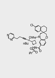 CCCC[C@](C#CCCc1ccncn1)(OC)[C@@H]1CC[C@H]1CN1C[C@@]2(CCCc3cc(Cl)ccc32)COc2ccc(C(=O)NS(=O)(=O)C(C)C)cc21